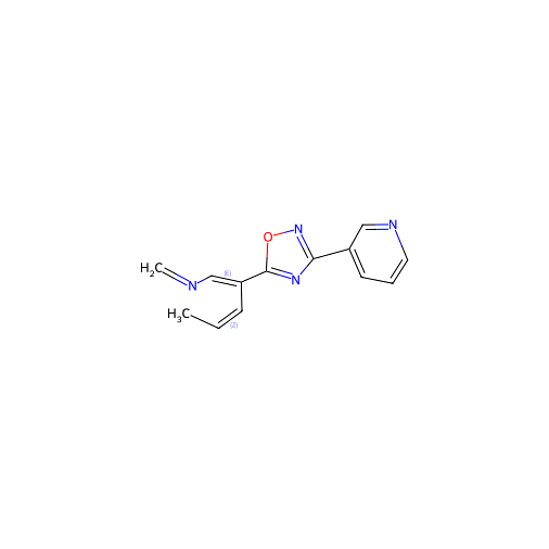 C=N/C=C(\C=C/C)c1nc(-c2cccnc2)no1